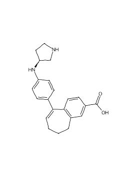 O=C(O)c1ccc2c(c1)CCCC=C2c1ccc(N[C@H]2CCNC2)cc1